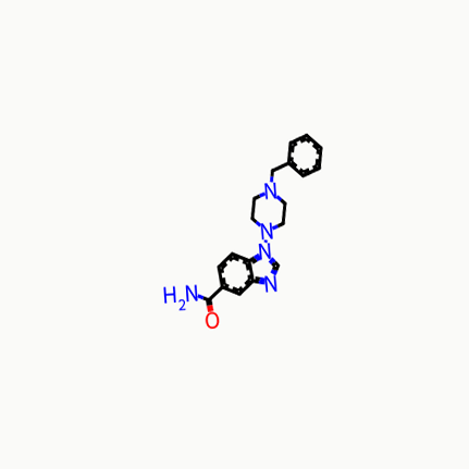 NC(=O)c1ccc2c(c1)ncn2N1CCN(Cc2ccccc2)CC1